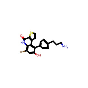 NCCCc1ccc(-c2c(O)cc(Br)c3[nH]c(=O)c4sccc4c23)cc1